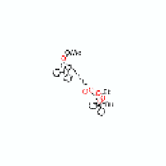 C=C(c1ccccc1)C12CCC(OCOC)C1CC(CCCCCCCC(=O)OC[C@H](CO[Si](c1ccccc1)(c1ccccc1)C(C)(C)C)OC(=O)CC)=C2c1ccccc1